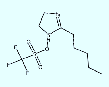 CCCCCC1=NCC[SH]1OS(=O)(=O)C(F)(F)F